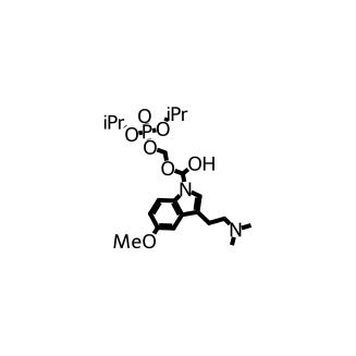 COc1ccc2c(c1)c(CCN(C)C)cn2C(O)OCOP(=O)(OC(C)C)OC(C)C